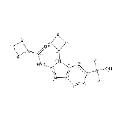 CC(C)(O)c1ccc2nc(NC(=O)C3CCC3)n(C3CCC3)c2c1